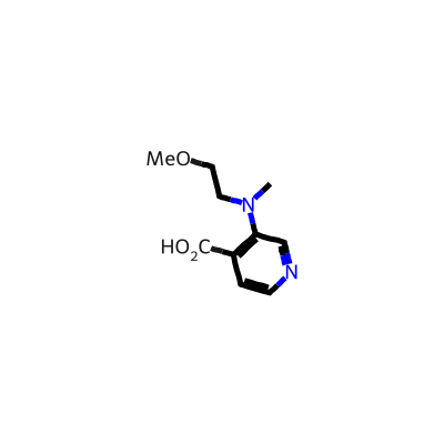 COCCN(C)c1cnccc1C(=O)O